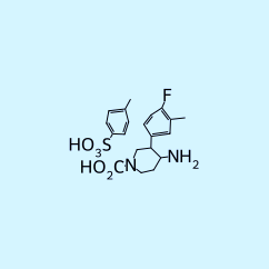 Cc1cc(C2CN(C(=O)O)CCC2N)ccc1F.Cc1ccc(S(=O)(=O)O)cc1